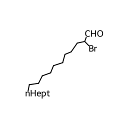 CCCCCCCCCCCCCCCCC(Br)C=O